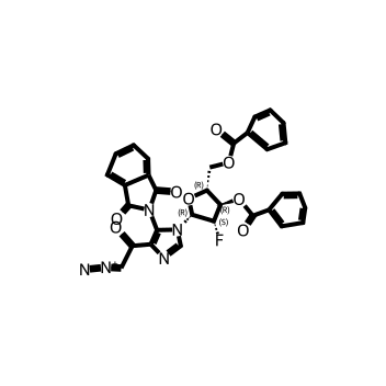 [N-]=[N+]=CC(=O)c1ncn([C@@H]2O[C@H](COC(=O)c3ccccc3)[C@@H](OC(=O)c3ccccc3)[C@@H]2F)c1N1C(=O)c2ccccc2C1=O